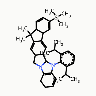 CC(C)c1cccc(C(C)C)c1N1C2=C(CCC=C2)N2CC3C=C4C(=CC3C21)C1C=C([Si](C)(C)C)C=CC1C4(C)C